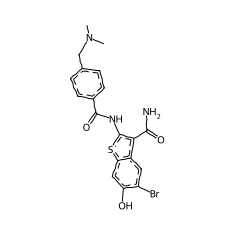 CN(C)Cc1ccc(C(=O)Nc2sc3cc(O)c(Br)cc3c2C(N)=O)cc1